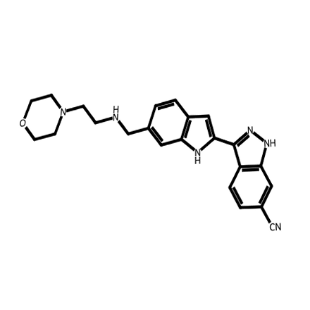 N#Cc1ccc2c(-c3cc4ccc(CNCCN5CCOCC5)cc4[nH]3)n[nH]c2c1